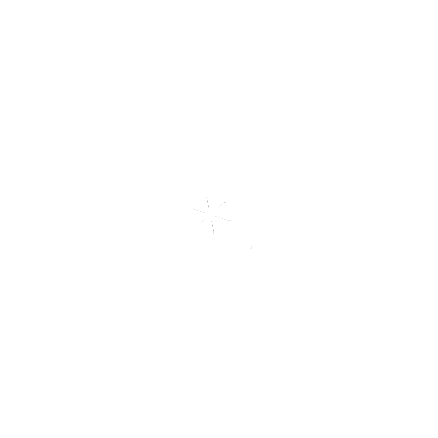 C.FS(F)(F)(F)(F)F